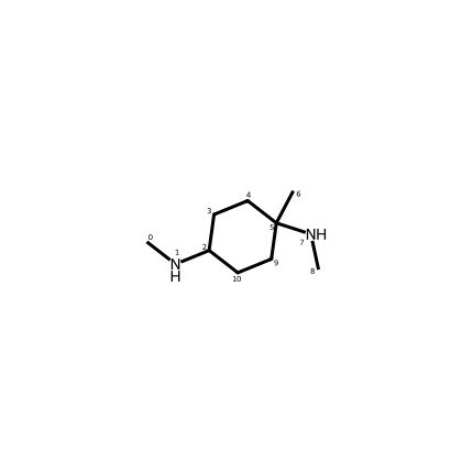 CNC1CCC(C)(NC)CC1